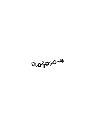 O=C(Nc1ccc(OC(=O)N2CCN(CCc3nccs3)CC2)cn1)c1ccc(CN2CCOCC2)cc1